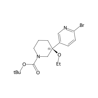 CCO[C@]1(c2ccc(Br)nc2)CCCN(C(=O)OC(C)(C)C)C1